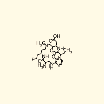 CCC(C(=O)NC(CC(=O)O)C(=O)CN(C)CCCCCF)n1ccnc(NCC(=N)C(C)=N)c1=O